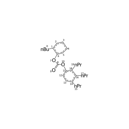 CCCCc1ccccc1OC(=O)Oc1ccc(CCC)c(CCC)c1CCC